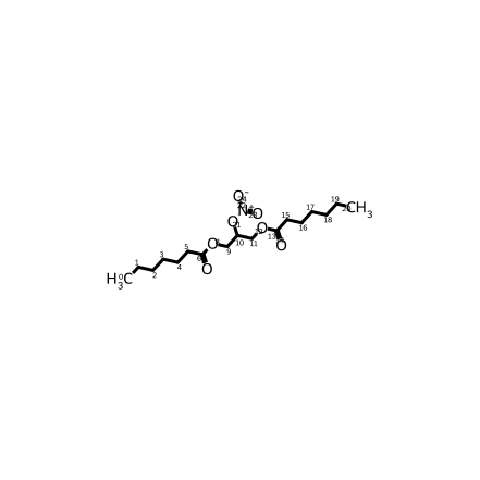 CCCCCCC(=O)OCC(COC(=O)CCCCCC)O[N+](=O)[O-]